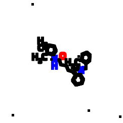 Cc1ccccc1Cn1cc(CCCC(=O)Nc2cccc(C)c2C)c2ccccc21